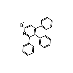 [B].c1ccc(-c2ccnc(-c3ccccc3)c2-c2ccccc2)cc1